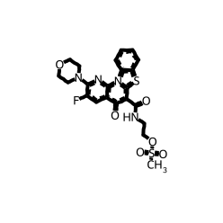 CS(=O)(=O)OCCNC(=O)c1c(=O)c2cc(F)c(N3CCOCC3)nc2n2c1sc1ccccc12